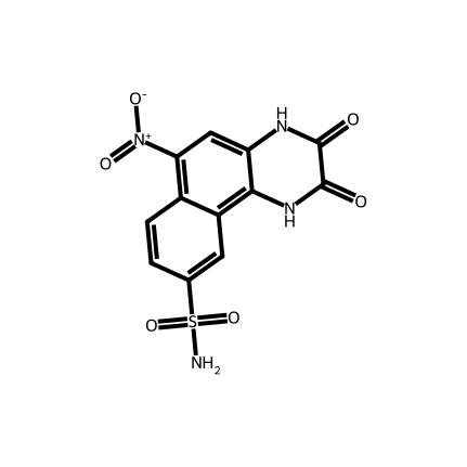 NS(=O)(=O)c1ccc2c([N+](=O)[O-])cc3[nH]c(=O)c(=O)[nH]c3c2c1